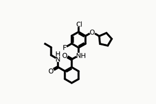 CCCNC(=O)C1=C(C(=O)Nc2cc(OC3CCCC3)c(Cl)cc2F)CCCC1